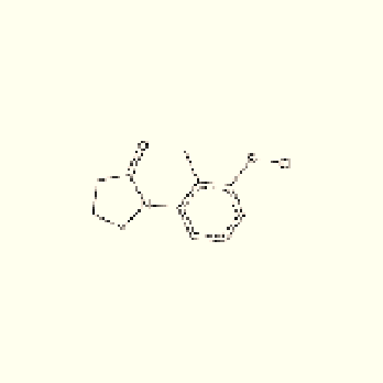 Cc1c(SCl)cccc1N1CCCC1=O